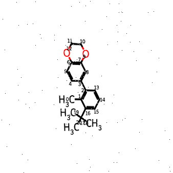 Cc1c(-c2ccc3c(c2)OCCO3)cccc1C(C)(C)C